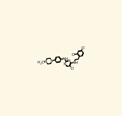 CN1CCN(c2ccc(Nc3ncc(Cl)c(NCCc4ccc(Cl)cc4Cl)n3)cc2)CC1